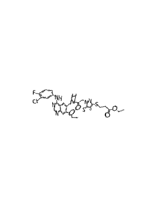 CCOC(=O)CCSc1nn(CC(=O)Nc2cc3c(Nc4ccc(F)c(Cl)c4)ncnc3cc2OCC)c(=S)s1